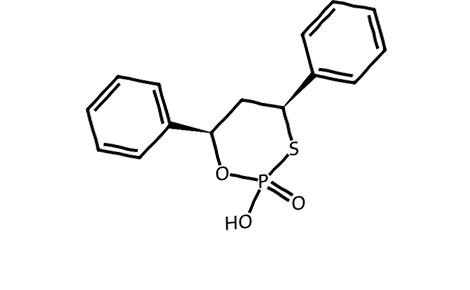 O=P1(O)O[C@@H](c2ccccc2)C[C@@H](c2ccccc2)S1